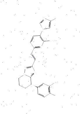 COc1nc(/C=C/c2nc3n(n2)CCC[C@@H]3c2ccc(F)c(Cl)c2)ccc1-n1cnc(C)c1